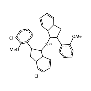 COc1ccccc1C1CC2C=CC=CC2[CH]1[Zr+2][CH]1C(c2ccccc2OC)CC2C=CC=CC21.[Cl-].[Cl-]